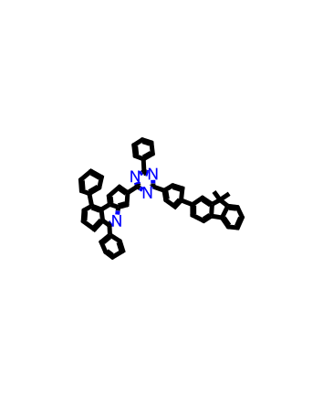 CC1(C)c2ccccc2-c2ccc(-c3ccc(-c4nc(-c5ccccc5)nc(-c5ccc6c(c5)nc(-c5ccccc5)c5cccc(-c7ccccc7)c56)n4)cc3)cc21